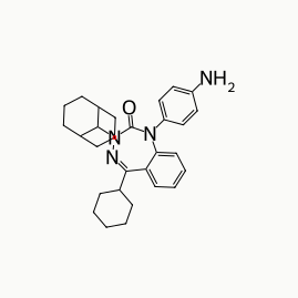 Nc1ccc(N2C(=O)N(C3C4CCCC3CCC4)N=C(C3CCCCC3)c3ccccc32)cc1